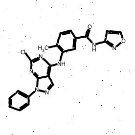 Cc1ccc(C(=O)Nc2ccon2)cc1Nc1nc(Cl)nc2c1cnn2-c1ccccc1